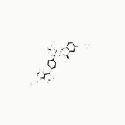 COc1ccc2c(c1)C(=O)N(C[C@@]1(c3ccc(-c4ncnc5c4ncn5C(C)C)cc3)NC(=O)NC1=O)C2